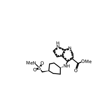 CNS(=O)(=O)C[C@H]1CC[C@H](Nc2c(C(=O)OC)cnc3[nH]ccc23)CC1